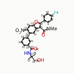 CNC(=O)c1c(-c2ccc(F)cc2)oc2cc([N+](=O)[O-])c(-c3cccc(C(=O)NC(C)(C)CO)c3)cc12